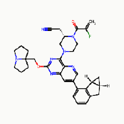 C=C(F)C(=O)N1CCN(c2nc(OCC34CCCN3CCC4)nc3cc(-c4cccc5c4[C@@H]4C[C@@H]4C5)cnc23)C[C@@H]1CC#N